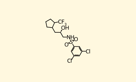 O=S(=O)(NC[C@H](O)CC1CCCC1C(F)(F)F)c1cc(Cl)cc(Cl)c1